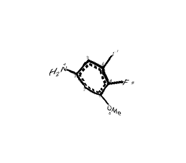 COc1cc(N)cc(F)c1F